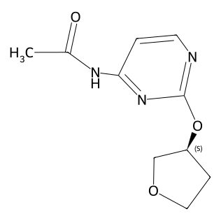 CC(=O)Nc1ccnc(O[C@H]2CCOC2)n1